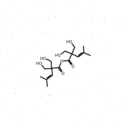 CC(C)=CC(CO)(CO)C(=O)OC(=O)C(C=C(C)C)(CO)CO